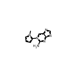 Cn1cccc1-n1cc2ncnc-2nc1N